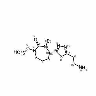 CCN1C(=O)N(OS(=O)(=O)O)CCC[C@H]1c1nnc(CCN)s1